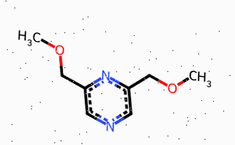 COCc1cncc(COC)n1